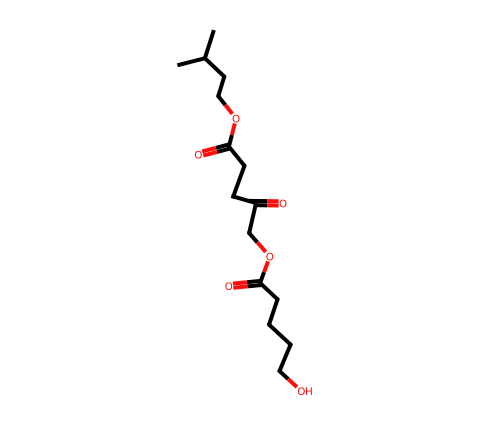 CC(C)CCOC(=O)CCC(=O)COC(=O)CCCCO